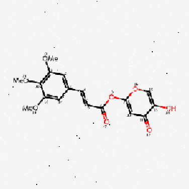 COc1cc(C=CC(=O)Oc2cc(=O)c(O)co2)cc(OC)c1OC